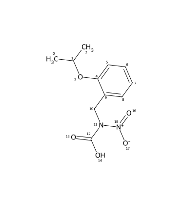 CC(C)Oc1ccccc1CN(C(=O)O)[N+](=O)[O-]